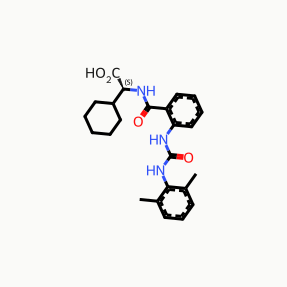 Cc1cccc(C)c1NC(=O)Nc1ccccc1C(=O)N[C@H](C(=O)O)C1CCCCC1